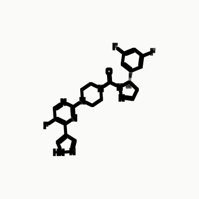 O=C(N1CCN(c2ncc(F)c(-c3cn[nH]c3)n2)CC1)N1N=CC[C@H]1c1cc(F)cc(F)c1